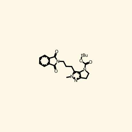 Cn1nc2c(c1CCCN1C(=O)c3ccccc3C1=O)N(C(=O)OC(C)(C)C)CC2